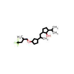 CC(COC1CCC(C(C)CC2CCC(C(C)C)C2O)C1)CC(F)(F)F